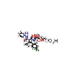 CC(C)c1c(C(=O)Nc2ccccc2)c(C2CC2)c(-c2ccc(F)cc2)n1CCC(O)(O)CCCC(=O)O